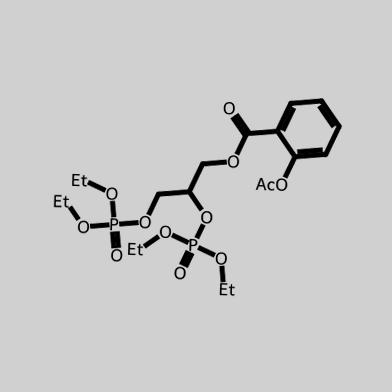 CCOP(=O)(OCC)OCC(COC(=O)c1ccccc1OC(C)=O)OP(=O)(OCC)OCC